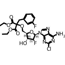 CCOC(=O)C(Cc1cccc(F)c1)(OC[C@H]1O[C@@H](n2cnc3c(N)nc(Cl)nc32)[C@@H](F)[C@@H]1O)C(=O)OCC